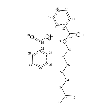 CC(C)CCCCCCOC(=O)c1ccccc1.O=C(O)c1ccccc1